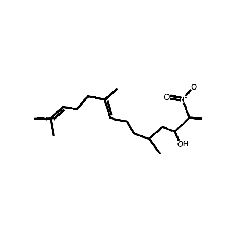 CC(C)=CCCC(C)=CCCC(C)CC(O)C(C)[N+](=O)[O-]